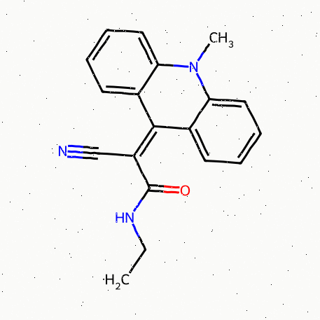 [CH2]CNC(=O)C(C#N)=C1c2ccccc2N(C)c2ccccc21